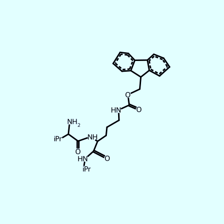 CC(C)NC(=O)C(CCCNC(=O)OCC1c2ccccc2-c2ccccc21)NC(=O)C(N)C(C)C